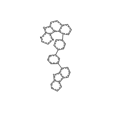 c1cc(-c2ccc(-c3cccc4ccc5oc6nccnc6c5c34)cc2)cc(-c2cccc3c2sc2ccccc23)c1